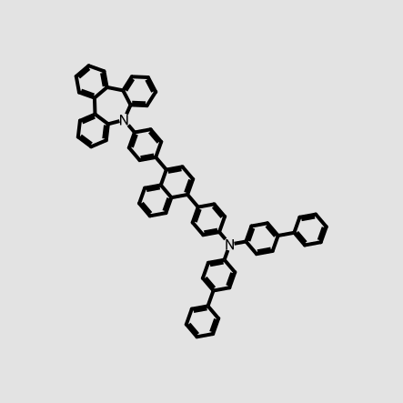 c1ccc(-c2ccc(N(c3ccc(-c4ccccc4)cc3)c3ccc(-c4ccc(-c5ccc(N6c7ccccc7-c7ccccc7-c7ccccc76)cc5)c5ccccc45)cc3)cc2)cc1